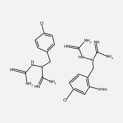 CCCCCCc1cc(Cl)ccc1CN(NC(=N)N)C(=N)N.N=C(N)NN(Cc1ccc(Cl)cc1)C(=N)N